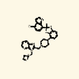 CC1(c2ccc(Cl)c3ccoc23)Oc2cccc(C3CCN(Cc4nc5cccnc5n4C[C@@H]4CCO4)CC3)c2O1